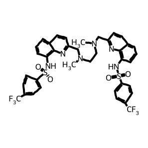 CN(CCN(C)Cc1ccc2cccc(NS(=O)(=O)c3ccc(C(F)(F)F)cc3)c2n1)Cc1ccc2cccc(NS(=O)(=O)c3ccc(C(F)(F)F)cc3)c2n1